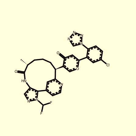 C[C@@H]1CCC[C@@H](c2coc(-c3cc(Cl)ccc3-n3cnnn3)cc2=O)c2cc(ccn2)-c2c(cnn2C(F)F)NC1=O